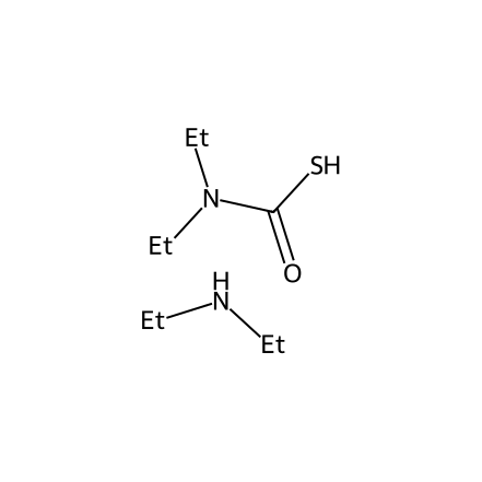 CCN(CC)C(=O)S.CCNCC